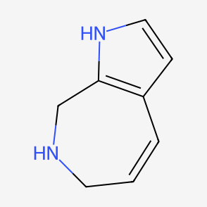 C1=Cc2cc[nH]c2CNC1